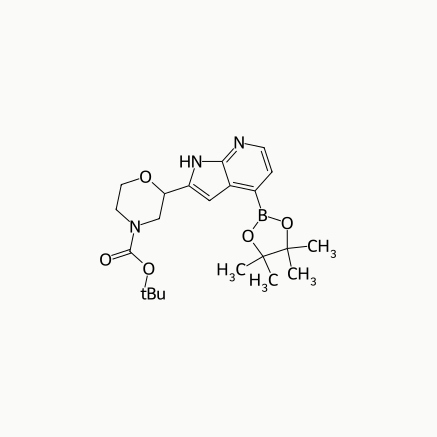 CC(C)(C)OC(=O)N1CCOC(c2cc3c(B4OC(C)(C)C(C)(C)O4)ccnc3[nH]2)C1